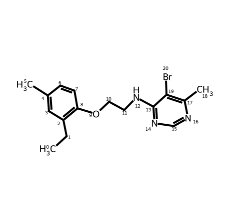 CCc1cc(C)ccc1OCCNc1ncnc(C)c1Br